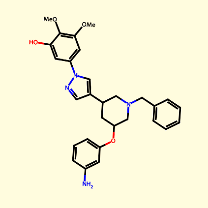 COc1cc(-n2cc(C3CC(Oc4cccc(N)c4)CN(Cc4ccccc4)C3)cn2)cc(O)c1OC